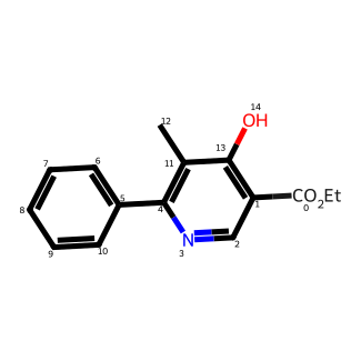 CCOC(=O)c1cnc(-c2ccccc2)c(C)c1O